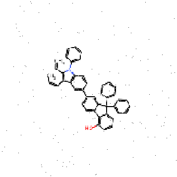 C=Cc1c(/C=C\C)c2cc(-c3ccc4c(c3)C(c3ccccc3)(c3ccccc3)c3cccc(O)c3-4)ccc2n1-c1ccccc1